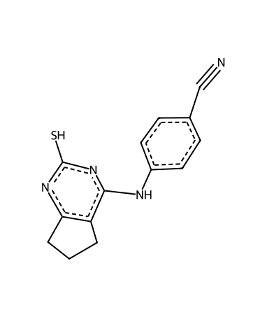 N#Cc1ccc(Nc2nc(S)nc3c2CCC3)cc1